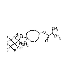 C=C(C)C(=O)OC1CCCC(C)(OC(C)(C)C(O)(C(F)(F)F)C(F)(F)F)CCC1